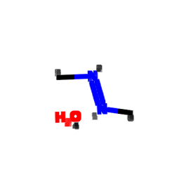 CN=NC.O